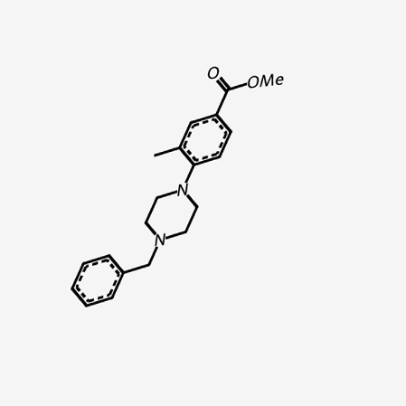 COC(=O)c1ccc(N2CCN(Cc3ccccc3)CC2)c(C)c1